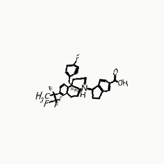 CC(F)(c1ccc2c(c1)CC[C@H]1N(C3CCc4cc(C(=O)O)ccc43)CC[C@@]21Cc1ccc(F)cc1)C(F)(F)F